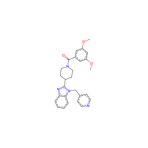 COc1cc(OC)cc(C(=O)N2CCC(c3nc4ccccc4n3Cc3ccncc3)CC2)c1